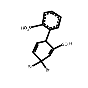 O=S(=O)(O)C1=CC(Br)(Br)C=CC1c1ccccc1S(=O)(=O)O